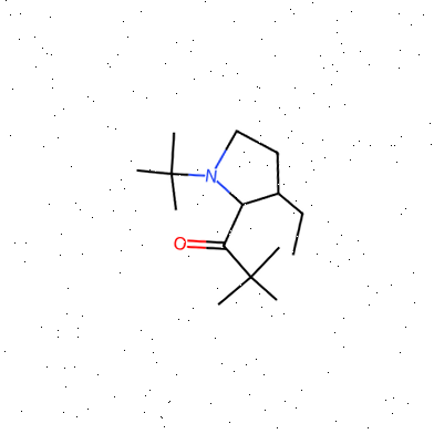 CCC1CCN(C(C)(C)C)C1C(=O)C(C)(C)C